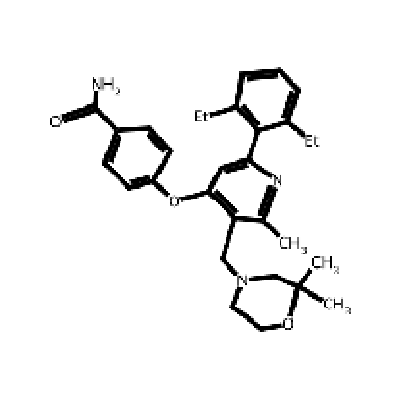 CCc1cccc(CC)c1-c1cc(Oc2ccc(C(N)=O)cc2)c(CN2CCOC(C)(C)C2)c(C)n1